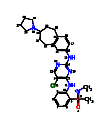 CN=S(C)(=O)c1ccccc1Nc1nc(Nc2ccc3c(c2)CCC(N2CCCC2)CC3)ncc1Cl